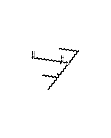 C=C(CCCCCCCCCC)CCCCCCCN(CCCCCCCC(=C)CC(CCCCCCCC)CCCCCCCC)CCNC(=C)CCCCCCCCCCCCCCNC